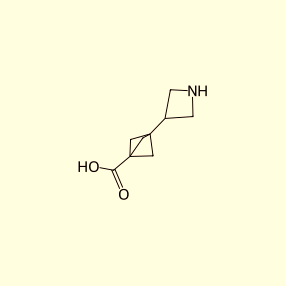 O=C(O)C12CC(C3CNC3)(C1)C2